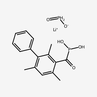 Cc1cc(C)c(-c2ccccc2)c(C)c1C(=O)P(O)O.O=[PH2][O-].[Li+]